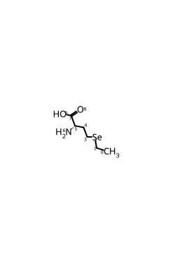 CC[Se]CC[C@H](N)C(=O)O